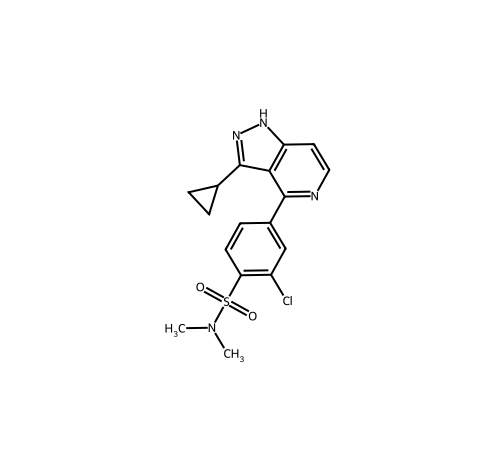 CN(C)S(=O)(=O)c1ccc(-c2nccc3[nH]nc(C4CC4)c23)cc1Cl